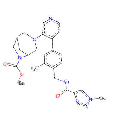 Cc1cc(-c2ccncc2N2CC3CC(C2)N(C(=O)OC(C)(C)C)C3)ccc1CNC(=O)c1cn(C(C)(C)C)nn1